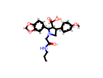 CCCNC(=O)CN1CC(c2ccc(OC)cc2)C(C(=O)O)C1c1ccc2c(c1)OCO2